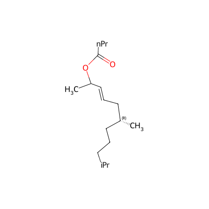 CCCC(=O)OC(C)C=CC[C@H](C)CCCC(C)C